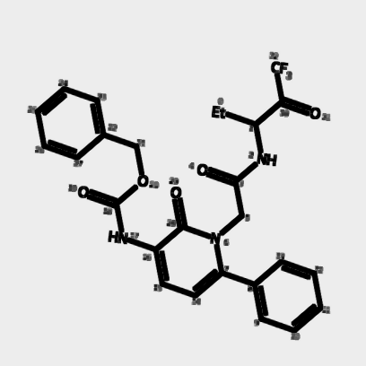 CCC(NC(=O)Cn1c(-c2ccccc2)ccc(NC(=O)OCc2ccccc2)c1=O)C(=O)C(F)(F)F